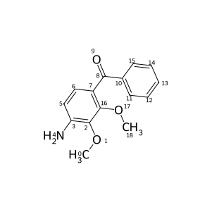 COc1c(N)ccc(C(=O)c2ccccc2)c1OC